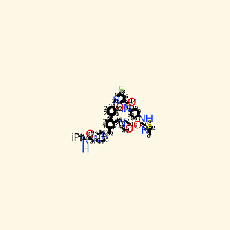 Cc1csc(C(=O)N[C@H]2CC[C@@H](NC(=O)c3cc(F)cnc3Oc3cccc(-c4ccc(CN5CCN(CC(=O)NC(C)C)CC5)cc4CN4CCOCC4)c3)CC2)n1